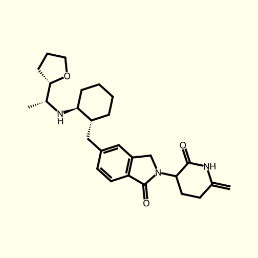 C=C1CCC(N2Cc3cc(C[C@H]4CCCC[C@@H]4N[C@H](C)[C@@H]4CCCO4)ccc3C2=O)C(=O)N1